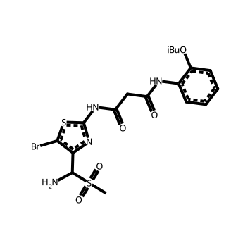 CC(C)COc1ccccc1NC(=O)CC(=O)Nc1nc(C(N)S(C)(=O)=O)c(Br)s1